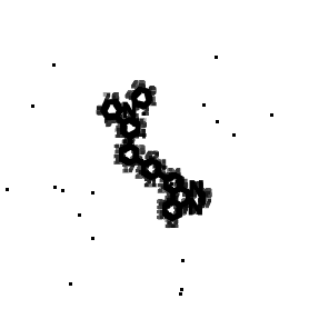 c1ccc(-n2c3ccccc3c3cc(-c4cccc(-c5ccc(-c6ccc7c(c6)c6ccccc6c6nccnc76)cc5)c4)ccc32)cc1